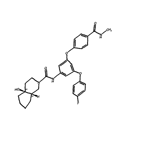 CNC(=O)c1ccc(Oc2cc(NC(=O)N3CC[C@@]4(O)CCCC[C@H]4C3)cc(Oc3ccc(F)cc3)c2)cc1